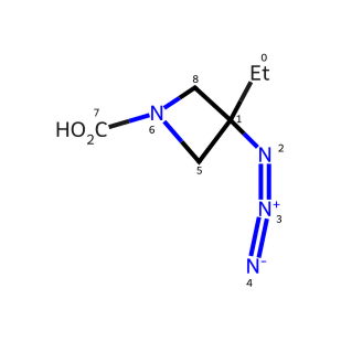 CCC1(N=[N+]=[N-])CN(C(=O)O)C1